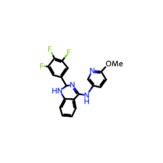 COc1ccc(NC2=NC(c3cc(F)c(F)c(F)c3)Nc3ccccc32)cn1